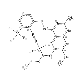 COCC(Oc1cc2c(NCc3cccc(C(F)(F)F)c3F)nc(C)nc2cc1OC)C(F)(F)F